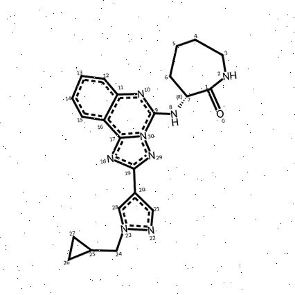 O=C1NCCCC[C@H]1Nc1nc2ccccc2c2nc(-c3cnn(CC4CC4)c3)nn12